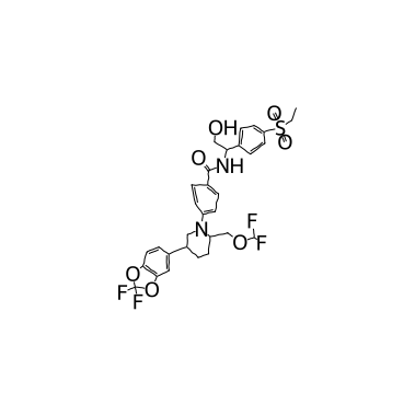 CCS(=O)(=O)c1ccc(C(CO)NC(=O)c2ccc(N3CC(c4ccc5c(c4)OC(F)(F)O5)CCC3COC(F)F)cc2)cc1